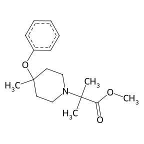 COC(=O)C(C)(C)N1CCC(C)(Oc2ccccc2)CC1